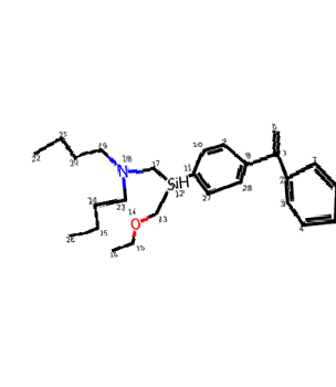 C=C(c1ccccc1)c1ccc([SiH](COCC)CN(CCCC)CCCC)cc1